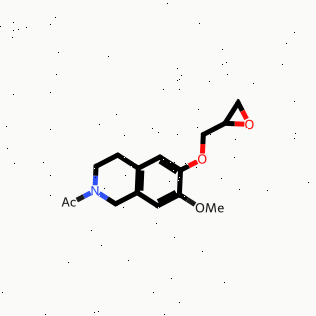 COc1cc2c(cc1OCC1CO1)CCN(C(C)=O)C2